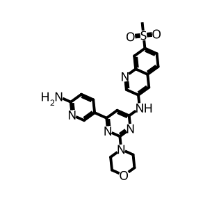 CS(=O)(=O)c1ccc2cc(Nc3cc(-c4ccc(N)nc4)nc(N4CCOCC4)n3)cnc2c1